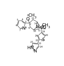 COC1(c2ccccn2)CC2CC(C)C(C1)N2C(=O)c1csc(-c2cn[nH]c2)c1